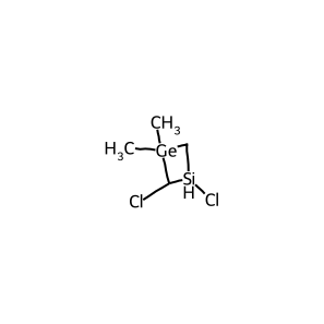 [CH3][Ge]1([CH3])[CH2][SiH](Cl)[CH]1Cl